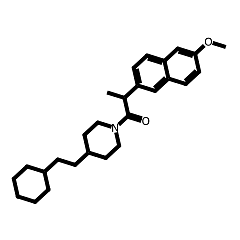 COc1ccc2cc(C(C)C(=O)N3CCC(CCC4CCCCC4)CC3)ccc2c1